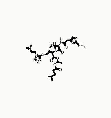 CC(C)CCC(=O)OC(C)OC(=O)C1=C(CSc2nnnn2CCN(C)C)CS[C@@H]2[C@H](NC(=O)Cc3csc(N)n3)C(=O)N12